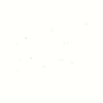 CCC[C@H]1C(=O)N[C@@H](C2CCCCCC2)C(=O)N[C@@H](CN)C(=O)N[C@@H](COC2CC(N)C2)C(=O)NCC(=O)O[C@H](CCC2CC3CCC2C3)[C@@H](C)C(=O)N1C